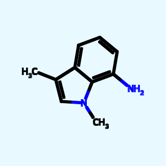 Cc1cn(C)c2c(N)cccc12